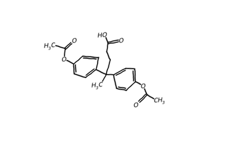 CC(=O)Oc1ccc(C(C)(CCC(=O)O)c2ccc(OC(C)=O)cc2)cc1